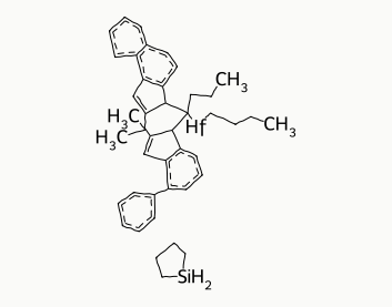 C1CC[SiH2]C1.CCC[CH2][Hf][C](CCC)(C1C(C)=Cc2c(-c3ccccc3)cccc21)C1C(CC)=Cc2c1ccc1ccccc21